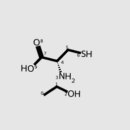 CCO.N[C@@H](CS)C(=O)O